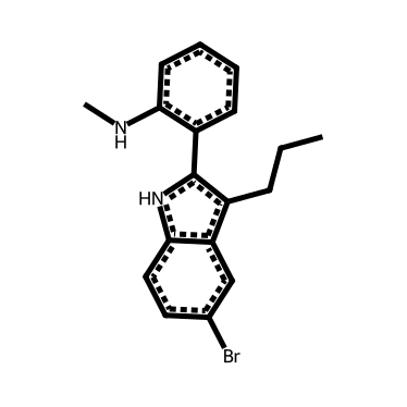 CCCc1c(-c2ccccc2NC)[nH]c2ccc(Br)cc12